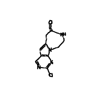 O=C1Cc2cc3cnc(Cl)nc3n2CCN1